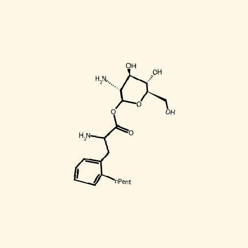 CCCCCc1ccccc1CC(N)C(=O)OC1O[C@H](CO)[C@@H](O)[C@H](O)[C@H]1N